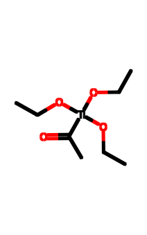 CC[O][Ti]([O]CC)([O]CC)[C](C)=O